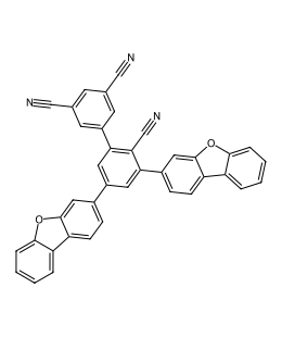 N#Cc1cc(C#N)cc(-c2cc(-c3ccc4c(c3)oc3ccccc34)cc(-c3ccc4c(c3)oc3ccccc34)c2C#N)c1